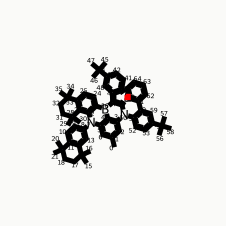 Cc1cc2c3c(c1)N(c1ccc4c(c1)C(C)(C)CCC4(C)C)c1c(ccc4c1C(C)(C)CCC4(C)C)B3c1c(sc3ccc(C(C)(C)C)cc13)N2c1ccc(C(C)(C)C)cc1-c1ccccc1